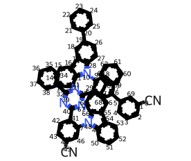 N#Cc1cccc(-c2ccc(-n3c4ccccc4c4cc(-c5ccccc5)ccc43)c(-c3nc(-c4ccccc4)nc(-c4ccc(C#N)cc4-n4c5ccccc5c5cc(-c6ccccc6)ccc54)n3)c2)c1